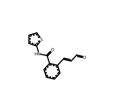 O=[C]/C=C/c1ccccc1C(=O)Nc1cccs1